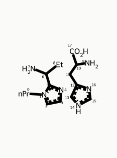 CCCn1ccnc1C(N)CC.NC(Cc1c[nH]cn1)C(=O)O